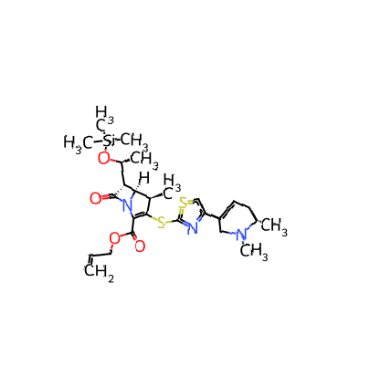 C=CCOC(=O)C1=C(Sc2nc(C3=CC[C@H](C)N(C)C3)cs2)[C@H](C)[C@@H]2[C@@H]([C@H](C)O[Si](C)(C)C)C(=O)N12